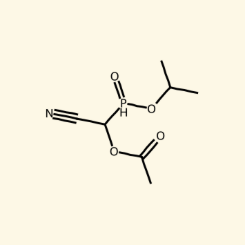 CC(=O)OC(C#N)[PH](=O)OC(C)C